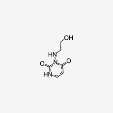 O=c1cc[nH]c(=O)n1NCCO